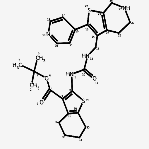 CC(C)(C)OC(=O)c1c(NC(=O)NCc2c(-c3ccncc3)sc3c2CCNC3)sc2c1CCCC2